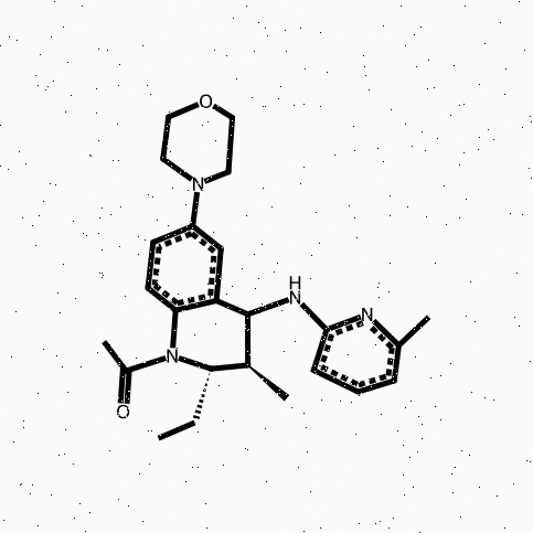 CC[C@H]1[C@H](C)C(Nc2cccc(C)n2)c2cc(N3CCOCC3)ccc2N1C(C)=O